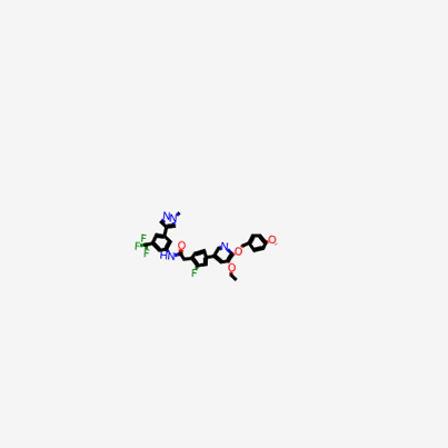 CCOc1cc(-c2ccc(CC(=O)Nc3cc(-c4cnn(C)c4)cc(C(F)(F)F)c3)c(F)c2)cnc1OCc1ccc(OC)cc1